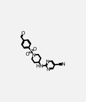 N#Cc1cnc(NC2CCN(S(=O)(=O)c3ccc(C=O)cc3)CC2)nc1